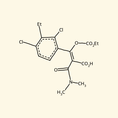 CCOC(=O)OC(=C(C(=O)O)C(=O)N(C)C)c1ccc(Cl)c(CC)c1Cl